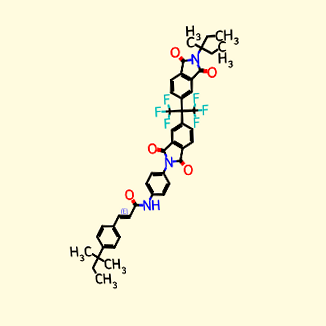 CCC(C)(C)c1ccc(/C=C/C(=O)Nc2ccc(N3C(=O)c4ccc(C(c5ccc6c(c5)C(=O)N(C(C)(CC)CC)C6=O)(C(F)(F)F)C(F)(F)F)cc4C3=O)cc2)cc1